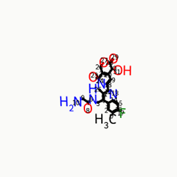 Cc1cc2c(CNC(=O)CN)c3c(nc2cc1F)-c1cc2c(c(=O)n1C3)COC(=O)[C@H]2O